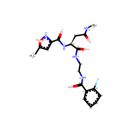 Cc1cc(C(=O)N[C@@H](CC(=O)NC(C)(C)C)C(=O)NCCNC(=O)c2ccccc2F)no1